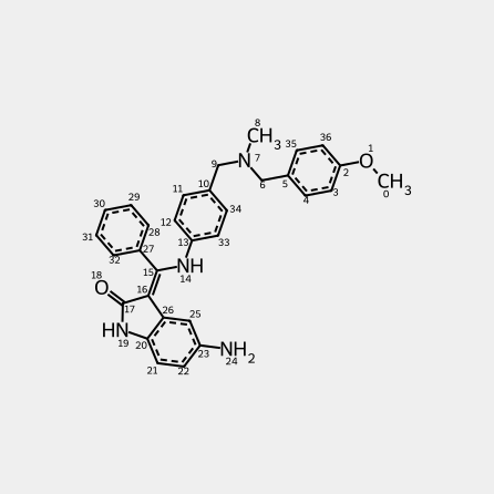 COc1ccc(CN(C)Cc2ccc(NC(=C3C(=O)Nc4ccc(N)cc43)c3ccccc3)cc2)cc1